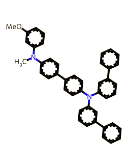 COc1cccc(N(C)c2ccc(-c3ccc(N(c4cccc(-c5ccccc5)c4)c4cccc(-c5ccccc5)c4)cc3)cc2)c1